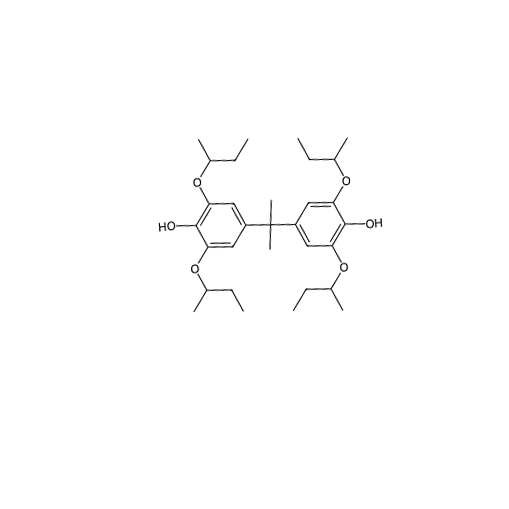 CCC(C)Oc1cc(C(C)(C)c2cc(OC(C)CC)c(O)c(OC(C)CC)c2)cc(OC(C)CC)c1O